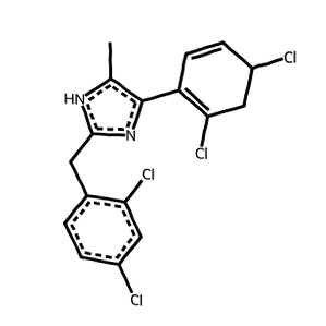 Cc1[nH]c(Cc2ccc(Cl)cc2Cl)nc1C1=C(Cl)CC(Cl)C=C1